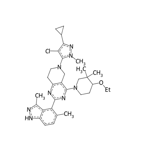 CCOC1CCN(c2nc(-c3c(C)ccc4[nH]nc(C)c34)nc3c2CN(c2c(Cl)c(C4CC4)nn2C)CC3)CC1(C)C